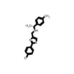 Cc1ccc([C@@H](C)NCc2csc(-c3ccc(Cl)cc3)n2)cc1